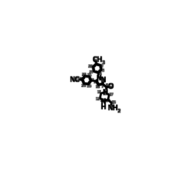 Cc1ccc(-n2nc(C(=O)N3CCNC(CN)C3)cc2-c2ccc(C#N)cc2)cc1